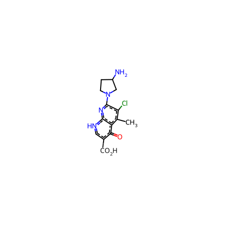 Cc1c(Cl)c(N2CCC(N)C2)nc2[nH]cc(C(=O)O)c(=O)c12